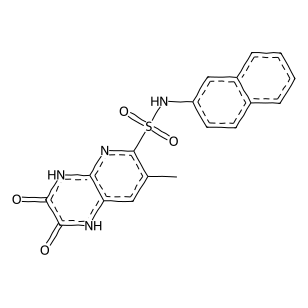 Cc1cc2[nH]c(=O)c(=O)[nH]c2nc1S(=O)(=O)Nc1ccc2ccccc2c1